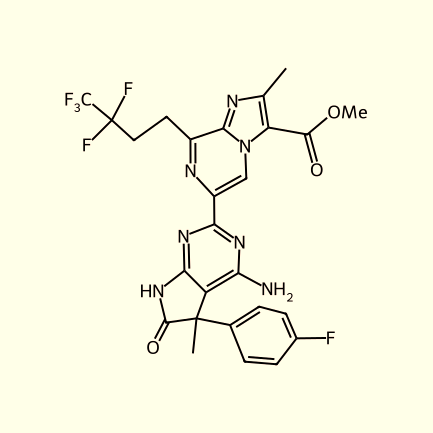 COC(=O)c1c(C)nc2c(CCC(F)(F)C(F)(F)F)nc(-c3nc(N)c4c(n3)NC(=O)C4(C)c3ccc(F)cc3)cn12